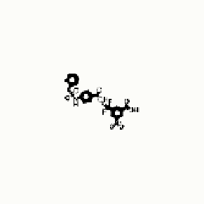 O=C(O)c1cc([N+](=O)[O-])cc(C(F)(F)F)c1.O=C(O)c1ccc(NS(=O)(=O)Cc2ccccc2)cc1